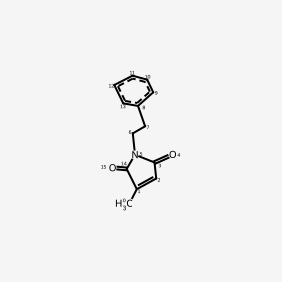 CC1=CC(=O)N(CCc2ccccc2)C1=O